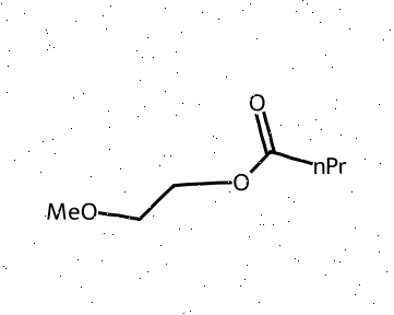 [CH2]CCC(=O)OCCOC